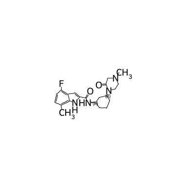 Cc1ccc(F)c2cc(C(=O)N[C@@H]3CCC[C@@H](N4CCN(C)CC4=O)C3)[nH]c12